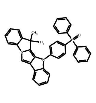 CC1(C)c2ccccc2-n2cc3c4ccccc4n(-c4ccc(P(=O)(c5ccccc5)c5ccccc5)cc4)c3c21